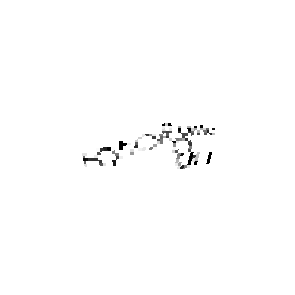 COc1cc2[nH]ccc2cc1C(=O)N1CCC(F)(Cc2ccc(F)cc2)CC1